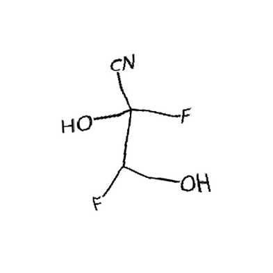 N#CC(O)(F)C(O)F